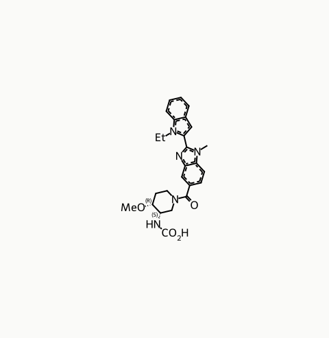 CCn1c(-c2nc3cc(C(=O)N4CC[C@@H](OC)[C@@H](NC(=O)O)C4)ccc3n2C)cc2ccccc21